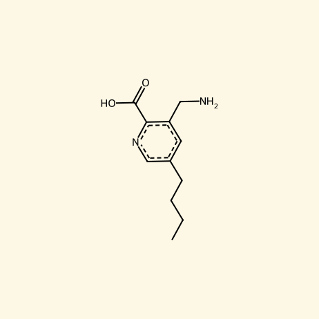 CCCCc1cnc(C(=O)O)c(CN)c1